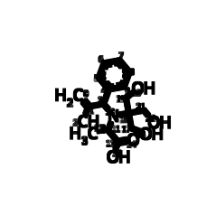 C=C(C)C(c1ccccc1)N([C@@H](C)C(=O)O)C(CO)(CO)CO